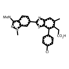 CNc1nn(C)c2cc(-c3nc4cc(C)c(CC(=O)O)c(-c5ccc(Cl)cc5)c4s3)ccc12